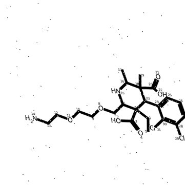 CCC1(C(=O)O)C(COCCOCCN)NC(C)C(C)(C(=O)O)C1c1cccc(Cl)c1Cl